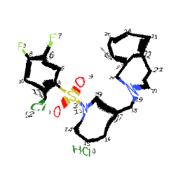 Cl.O=S(=O)(c1cc(F)c(F)cc1Cl)N1CCCC(CN2CCc3ccccc3C2)C1